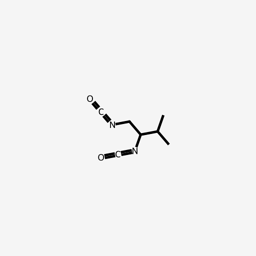 CC(C)C(CN=C=O)N=C=O